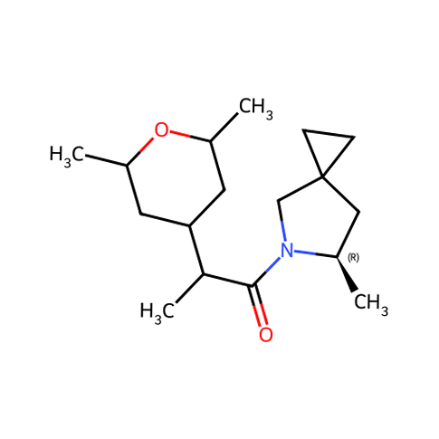 CC1CC(C(C)C(=O)N2CC3(CC3)C[C@H]2C)CC(C)O1